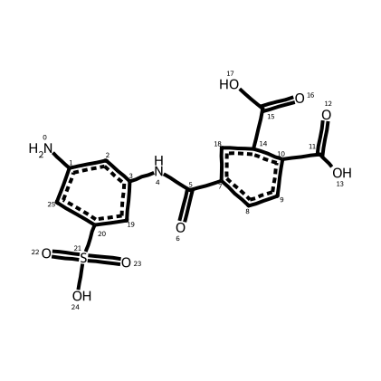 Nc1cc(NC(=O)c2ccc(C(=O)O)c(C(=O)O)c2)cc(S(=O)(=O)O)c1